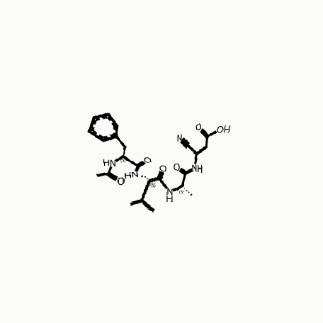 CC(=O)N[C@@H](Cc1ccccc1)C(=O)N[C@H](C(=O)N[C@@H](C)C(=O)NC(C#N)CC(=O)O)C(C)C